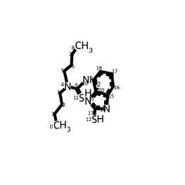 CCCCN(CCCC)C(N)=S.Sc1nc2ccccc2[nH]1